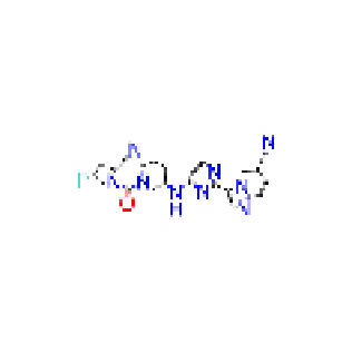 N#Cc1ccc2ncc(-c3nccc(N[C@@H]4CCCN(C(=O)N5C[C@@H](F)C[C@H]5C#N)C4)n3)n2c1